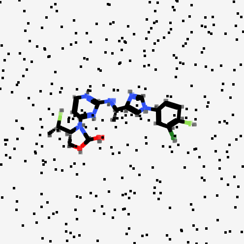 C[C@H](Nc1nccc(N2C(O)OC[C@@H]2[C@H](C)F)n1)c1cn(-c2ccc(F)c(Cl)c2)cn1